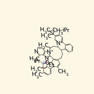 C=C/C(=C(\CC)n1c2[n+](c3ccnc(C)c31)C(=C)CC1C(CCc3cc(C)c4c(oc5cc(C)ccc54)c3-2)c2ccccc2-c2cc(CC(C)C)c([Si](C)(C)C)c[n+]21)C(C)C